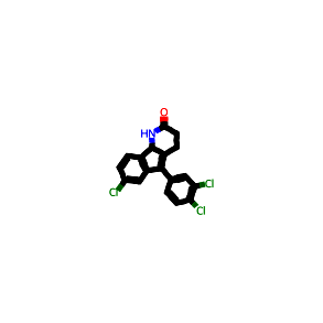 O=C1CCC2=C(c3ccc(Cl)c(Cl)c3)c3cc(Cl)ccc3C2N1